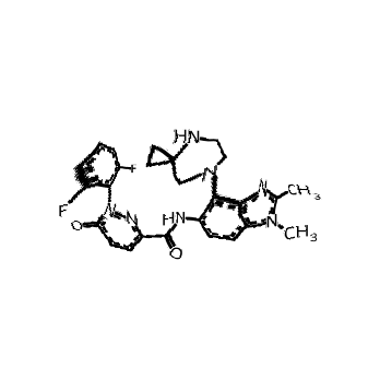 Cc1nc2c(N3CCNC4(CC4)C3)c(NC(=O)c3ccc(=O)n(-c4c(F)cccc4F)n3)ccc2n1C